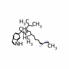 C=C(NC(CC(C)CC)CC(C)CCC/C=C\C=C/C)c1ccc2cc[nH]c2c1